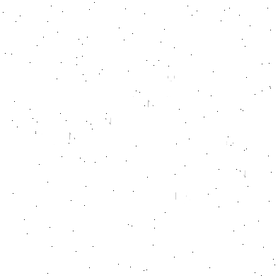 O=C(c1ccccc1)N1CCN(C2CN(C(=O)c3ccc(Oc4cc(C(F)(F)F)ccn4)cc3)C2)CC1